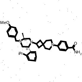 COc1ccc(CN2C[C@@H](c3ccccc3C(C)C)N(C3CC4(CCN(c5ccc(C(N)=O)cc5)CC4)C3)C[C@@H]2C)cc1